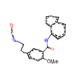 COc1ccc(CCN=C=O)cc1C(=O)Nc1cccc2ccccc12